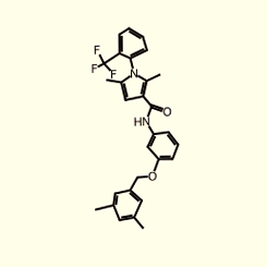 Cc1cc(C)cc(COc2cccc(NC(=O)c3cc(C)n(-c4ccccc4C(F)(F)F)c3C)c2)c1